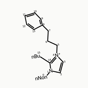 CCCCCCCCCn1cc[n+](CCCc2ccccc2)c1CCCC